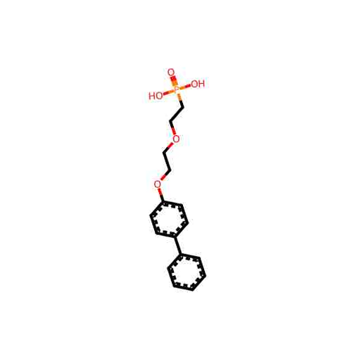 O=P(O)(O)CCOCCOc1ccc(-c2ccccc2)cc1